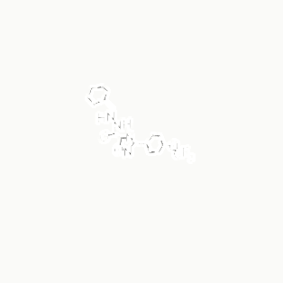 O=C(NNCc1ccccc1)c1nc(-c2ccc(OC(F)(F)F)cc2)no1